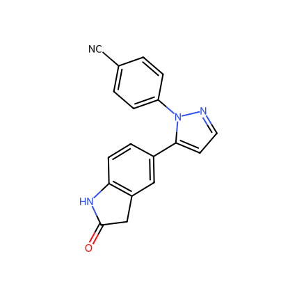 N#Cc1ccc(-n2nccc2-c2ccc3c(c2)CC(=O)N3)cc1